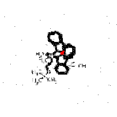 C[Si](C)(C)OC[CH2][Zr]([CH3])(=[SiH2])([CH]1c2ccccc2-c2ccccc21)[CH]1c2ccccc2-c2ccccc21.Cl.Cl